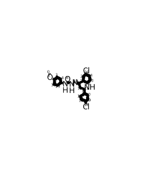 COc1ccc(NC(=O)NN=C2CC(c3ccc(Cl)cc3)Nc3ccc(Cl)cc32)cc1